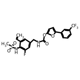 C=Cc1cc(CNC(=O)Oc2ccc(-c3cccc(C(F)(F)F)c3)o2)cc(F)c1NS(C)(=O)=O